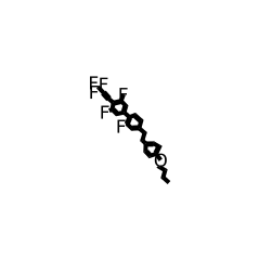 CCCCOc1ccc(CCc2ccc(-c3cc(F)c(C#CC(F)(F)F)c(F)c3)c(F)c2)cc1